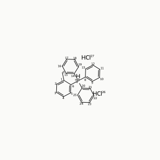 Cc1ccccc1[PH](c1ccccc1)(c1ccccc1)c1ccccc1.Cl.Cl